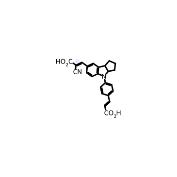 N#C/C(=C\c1ccc2c(c1)C1CCCC1N2c1ccc(C=CC(=O)O)cc1)C(=O)O